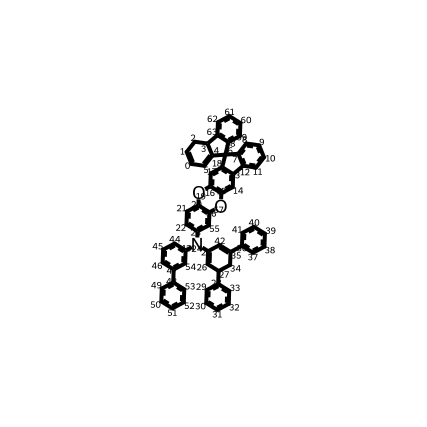 C1=CCC2C(=C1)C1(c3ccccc3-c3cc4c(cc31)Oc1ccc(N(C3=CC(c5ccccc5)CC(c5ccccc5)=C3)c3cccc(-c5ccccc5)c3)cc1O4)c1ccccc12